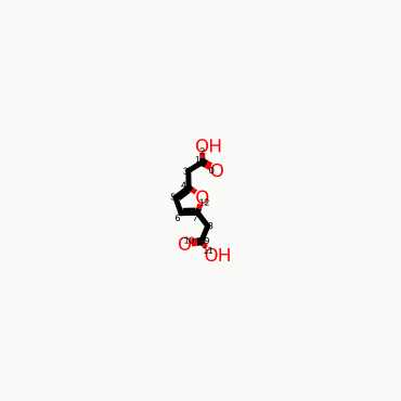 O=C(O)Cc1ccc(CC(=O)O)o1